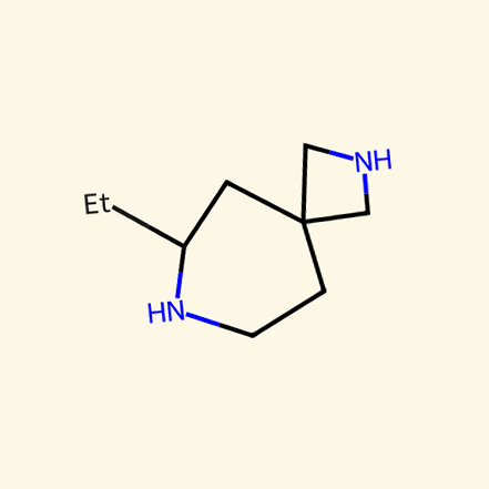 CCC1CC2(CCN1)CNC2